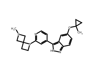 CN1CC2(CCN2c2cc(-c3[nH]nc4ccc(OC5(C)CC5)cc34)ccn2)C1